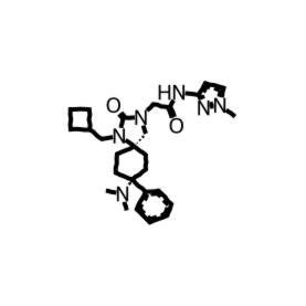 Cn1ccc(NC(=O)CN2C[C@]3(CC[C@@](c4ccccc4)(N(C)C)CC3)N(CC3CCC3)C2=O)n1